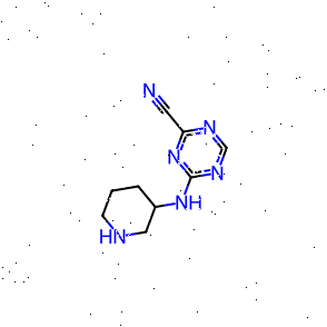 N#Cc1ncnc(NC2CCCNC2)n1